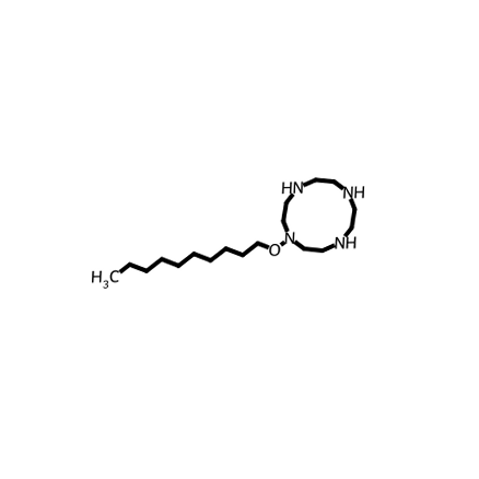 CCCCCCCCCCON1CCNCCNCCNCC1